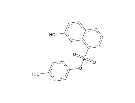 Cc1ccc(OS(=O)(=O)c2cccc3ccc(O)cc23)cc1